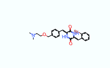 CN(C)CCOCc1ccc(/C=c2\[nH]c(=O)/c(=C/c3ccccc3Br)[nH]c2=O)cc1